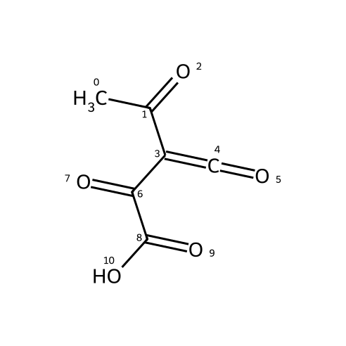 CC(=O)C(=C=O)C(=O)C(=O)O